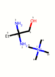 CCC(N)(N)CO.C[N+](C)(C)C